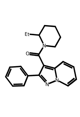 CCC1CCCCN1C(=O)c1c(-c2ccccc2)nn2ccccc12